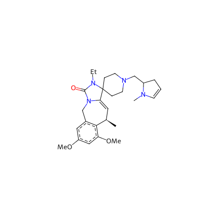 CCN1C(=O)N2Cc3cc(OC)cc(OC)c3[C@H](C)C=C2C12CCN(CC1CC=CN1C)CC2